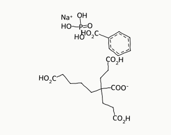 O=C(O)CCCCC(CCC(=O)O)(CCC(=O)O)C(=O)[O-].O=C(O)c1ccccc1.O=P(O)(O)O.[Na+]